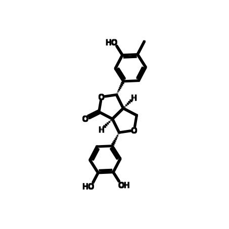 Cc1ccc([C@H]2OC(=O)[C@H]3[C@@H]2CO[C@@H]3c2ccc(O)c(O)c2)cc1O